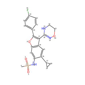 CS(=O)(=O)Nc1cc2oc(-c3ccc(F)cc3)c(C3=NOCCN3)c2cc1C1CC1